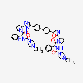 CN1CCN(C(=O)N[C@@H](C(=O)N2CCC[C@H]2c2ncc(-c3ccc(C4CCC(c5cnc([C@@H]6CCCN6C(=O)[C@H](NC(=O)N6CCN(C)CC6)c6ccccc6)o5)CC4)cc3)[nH]2)c2ccccc2)CC1